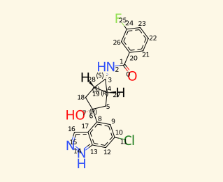 O=C(N[C@@H]1[C@@H]2C[C@@](O)(c3cc(Cl)cc4[nH]ncc34)C[C@@H]21)c1cccc(F)c1